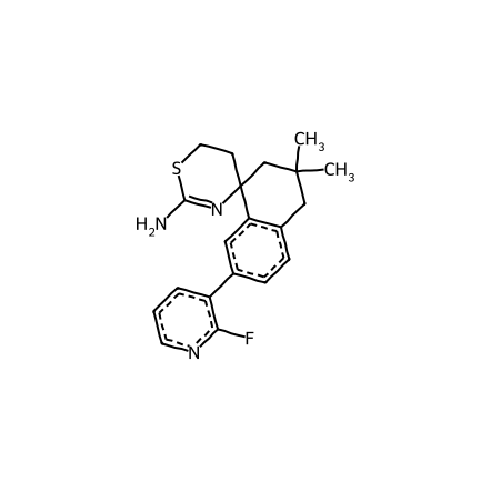 CC1(C)Cc2ccc(-c3cccnc3F)cc2C2(CCSC(N)=N2)C1